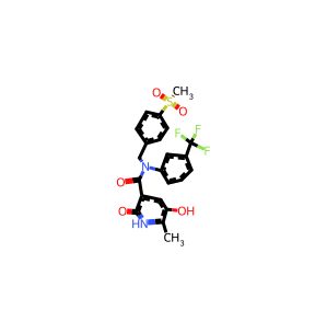 Cc1[nH]c(=O)c(C(=O)N(Cc2ccc(S(C)(=O)=O)cc2)c2cccc(C(F)(F)F)c2)cc1O